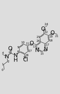 CCCN(C)C(=O)Nc1ccc(Oc2ncnc3cc(OC)c(OC)cc23)cc1Cl